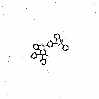 c1ccc(-c2nc(-c3ccc(-c4nc5ccccc5c5c(-c6ccccc6)c6c(cc45)oc4ccccc46)cc3)c3ccccc3n2)cc1